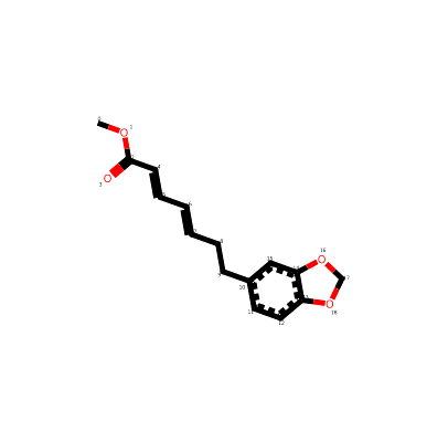 COC(=O)C=CC=CCCc1ccc2c(c1)OCO2